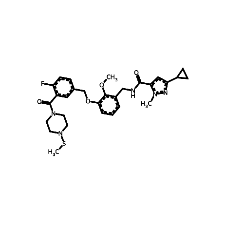 COc1c(CNC(=O)c2cc(C3CC3)nn2C)cccc1OCc1ccc(F)c(C(=O)N2CCN(SC)CC2)c1